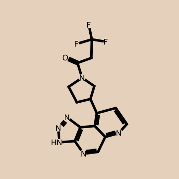 O=C(CC(F)(F)F)N1CCC(c2ccnc3cnc4[nH]nnc4c23)C1